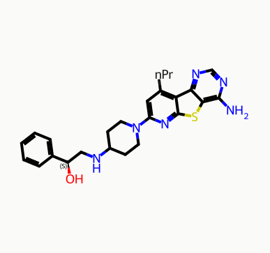 CCCc1cc(N2CCC(NC[C@@H](O)c3ccccc3)CC2)nc2sc3c(N)ncnc3c12